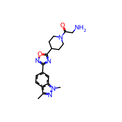 Cc1nn(C)c2cc(-c3noc(C4CCN(C(=O)CN)CC4)n3)ccc12